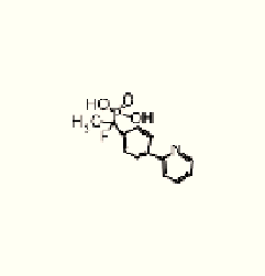 CC(F)(c1ccc(-c2ccccn2)cc1)P(=O)(O)O